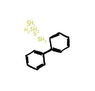 S.S.S.S.c1ccc(-c2ccccc2)cc1